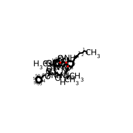 CCCCC#Cc1cccc2c1NC1Oc3ccc4cc3[C@]21c1oc(nc1-c1nc(C(=O)OC)co1)[C@H](C(C)C)NC(=O)[C@@H](NC(=O)OCc1ccccc1)C4